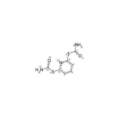 NC(=O)Sc1cccc(SC(N)=O)n1